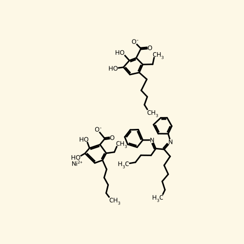 CCCCCCC(=Nc1ccccc1)C(CCCC)=Nc1ccccc1.CCCCCc1cc(O)c(O)c(C(=O)[O-])c1CC.CCCCCc1cc(O)c(O)c(C(=O)[O-])c1CC.[Ni+2]